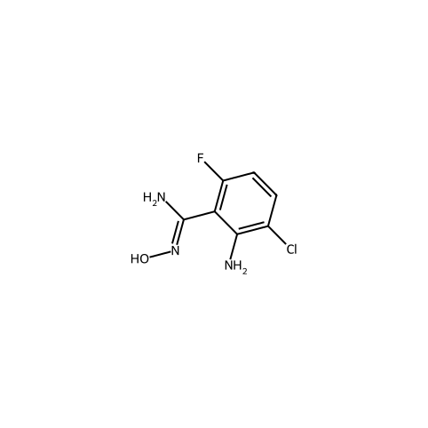 NC(=NO)c1c(F)ccc(Cl)c1N